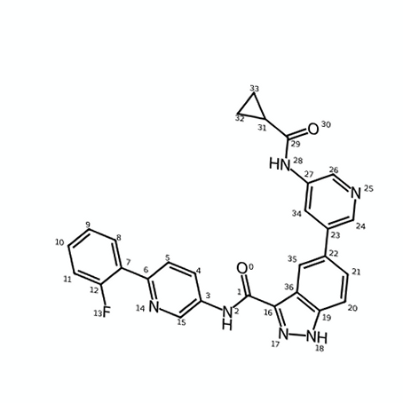 O=C(Nc1ccc(-c2ccccc2F)nc1)c1n[nH]c2ccc(-c3cncc(NC(=O)C4CC4)c3)cc12